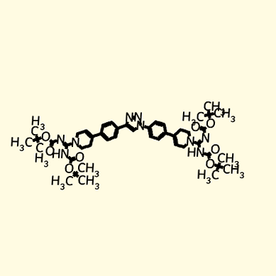 CC(C)(C)OC(=O)/N=C(/NC(=O)OC(C)(C)C)N1CC=C(c2ccc(-n3cc(-c4ccc(C5=CCN(/C(=N/C(=O)OC(C)(C)C)NC(=O)OC(C)(C)C)CC5)cc4)nn3)cc2)CC1